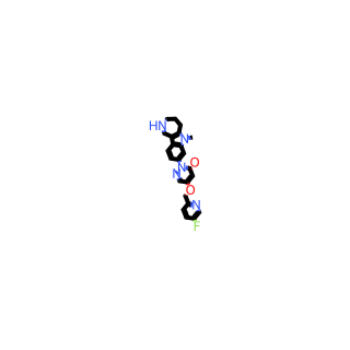 Cn1c2c(c3ccc(-n4ncc(OCc5ccc(F)cn5)cc4=O)cc31)CNCCC2